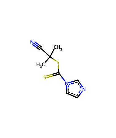 CC(C)(C#N)SC(=S)n1ccnc1